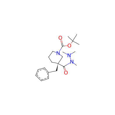 CN(C)N(C)C(=O)[C@]1(Cc2ccccc2)CCCN(C(=O)OC(C)(C)C)C1